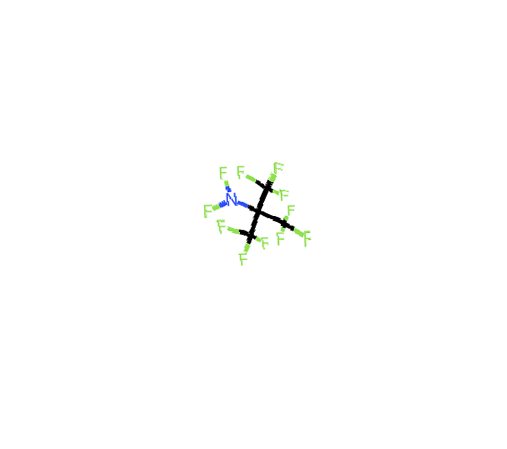 FN(F)C(C(F)(F)F)(C(F)(F)F)C(F)(F)F